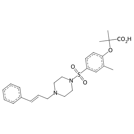 Cc1cc(S(=O)(=O)N2CCN(CC=Cc3ccccc3)CC2)ccc1OC(C)(C)C(=O)O